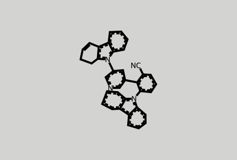 N#Cc1cccc(-n2c3ccccc3c3ccccc32)c1-c1cncc(-n2c3c(c4ccccc42)C=CCC3)c1